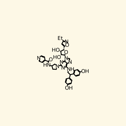 CCc1cc([C@H]2O[C@@H](n3cnc4c(NCC(c5ccc(O)cc5)c5ccc(O)cc5)nc(N5CCC(NC(=O)c6ccncc6)C5)nc43)[C@H](O)[C@@H]2O)on1